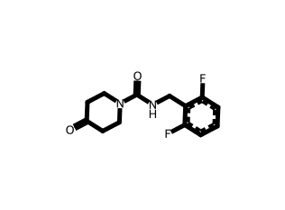 O=C1CCN(C(=O)NCc2c(F)cccc2F)CC1